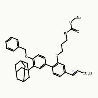 CCOC(=O)/C=C/c1ccc(-c2ccc(OCc3ccccc3)c(C34CC5CC(CC(C5)C3)C4)c2)c(OCCCNC(=O)OC(C)(C)C)c1